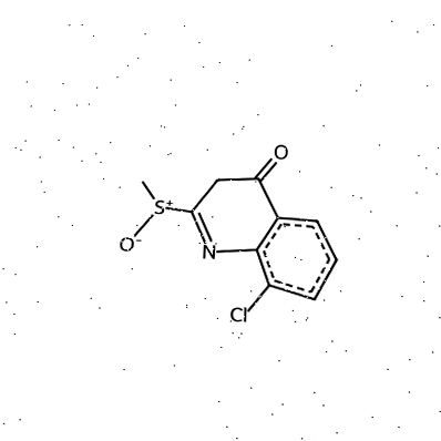 C[S+]([O-])C1=Nc2c(Cl)cccc2C(=O)C1